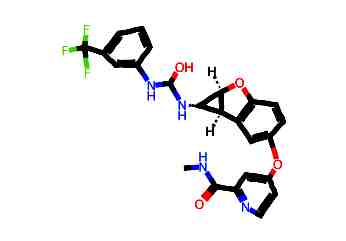 CNC(=O)c1cc(Oc2ccc3c(c2)[C@H]2[C@H](NC(O)Nc4cccc(C(F)(F)F)c4)[C@H]2O3)ccn1